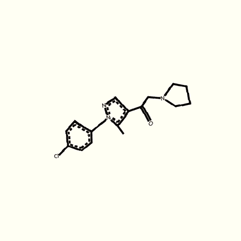 Cc1c(C(=O)CN2CCCC2)cnn1-c1ccc(Cl)cc1